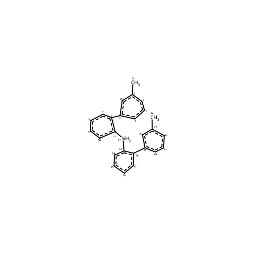 Cc1cccc(-c2ccccc2[SiH2]c2ccccc2-c2cccc(C)c2)c1